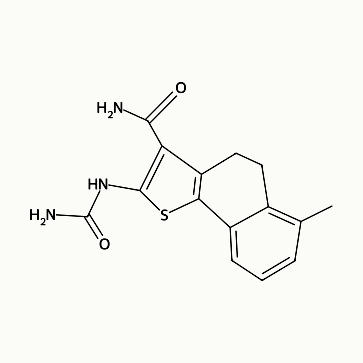 Cc1cccc2c1CCc1c-2sc(NC(N)=O)c1C(N)=O